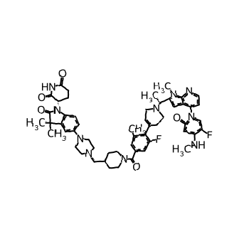 CNc1cc(=O)n(-c2ccnc3c2cc([C@H](C)N2CC=C(c4c(C)cc(C(=O)N5CCC(CN6CCN(c7ccc8c(c7)C(C)(C)C(=O)N8[C@H]7CCC(=O)NC7=O)CC6)CC5)cc4F)CC2)n3C)cc1F